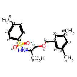 Cc1ccc(S(=O)(=O)NC(COCc2cc(C)cc(C)c2)C(=O)O)cc1